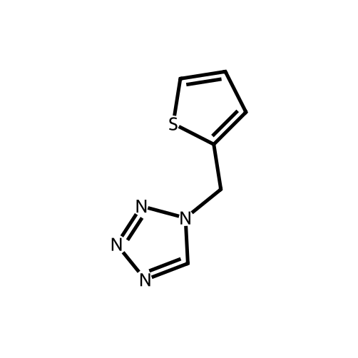 c1csc(Cn2cnnn2)c1